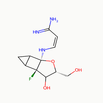 N=C(N)/C=C\N[C@]12O[C@H](CO)C(O)[C@]1(F)C1CC12